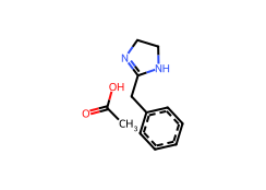 CC(=O)O.c1ccc(CC2=NCCN2)cc1